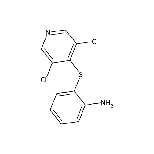 Nc1ccccc1Sc1c(Cl)cncc1Cl